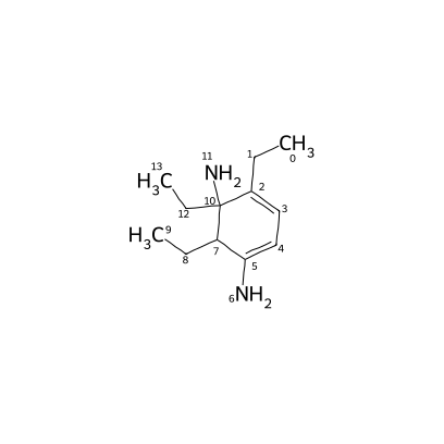 CCC1=CC=C(N)C(CC)C1(N)CC